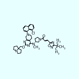 CN(c1nc(OCC23CCCN2CCC3)nc2c1CCN(c1cccc3cccc(Cl)c13)C2)[C@@H]1CCN(C(=O)/C=C/c2nc(C(C)(C)C)no2)C1